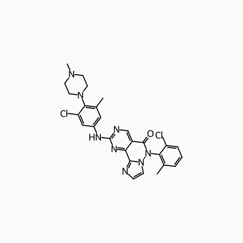 Cc1cc(Nc2ncc3c(=O)n(-c4c(C)cccc4Cl)n4ccnc4c3n2)cc(Cl)c1N1CCN(C)CC1